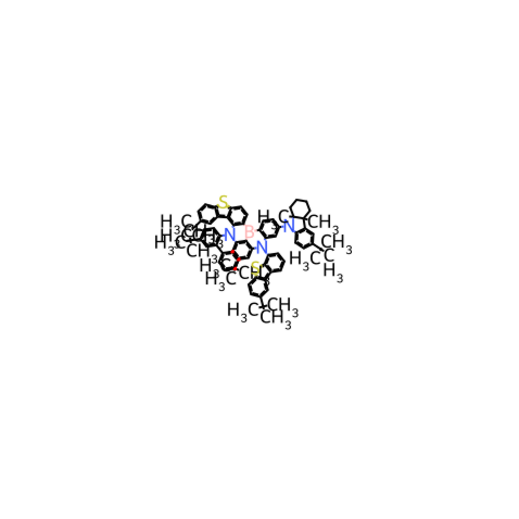 CC(C)(C)c1ccc(N2c3cc(C(C)(C)C)cc4c3B(c3ccc(N5c6ccc(C(C)(C)C)cc6C6(C)CCCCC56C)cc3N4c3cccc4c3sc3ccc(C(C)(C)C)cc34)c3ccc4sc5ccc(C(C)(C)C)cc5c4c32)c(-c2ccccc2)c1